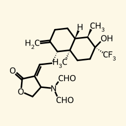 C=C1CC[C@@H]2[C@@H](C)[C@](O)(C(F)(F)F)CC[C@@]2(C)[C@@H]1C/C=C1/C(=O)OCC1N(C=O)C=O